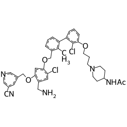 CC(=O)NC1CCN(CCCOc2cccc(-c3cccc(COc4cc(OCc5cncc(C#N)c5)c(CN)cc4Cl)c3C)c2Cl)CC1